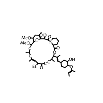 CC=C(C)OC1CCC(C=C(C)C2OC(=O)C3CCCCN3C(=O)C(=O)C3(O)OC(C(OC)CC(C)C/C(C)=C/C(CC)C(=O)CCC2C)C(OC)CC3C)CC1O